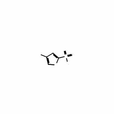 CCc1csc(S(=N)(N)=O)c1